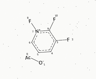 CC(=O)[O-].Fc1ccc[n+](F)c1F